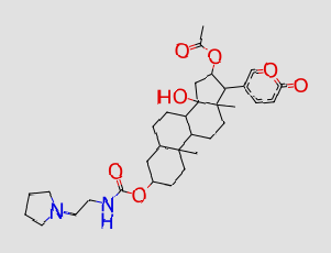 CC(=O)OC1CC2(O)C3CCC4CC(OC(=O)NCCN5CCCC5)CCC4(C)C3CCC2(C)C1c1ccc(=O)oc1